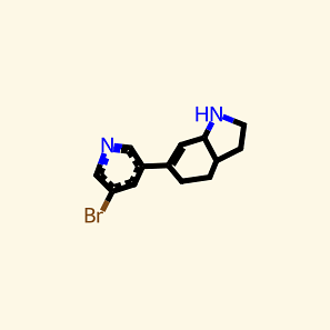 Brc1cncc(C2=CC3NCCC3CC2)c1